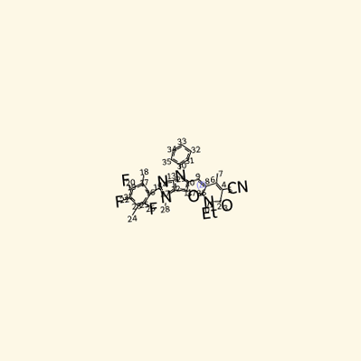 CCN1C(=O)C(C#N)=C(C)/C(=C/c2cc3c(nc(-c4c(C)c(F)c(F)c(C)c4F)n3C)n2-c2ccccc2)C1=O